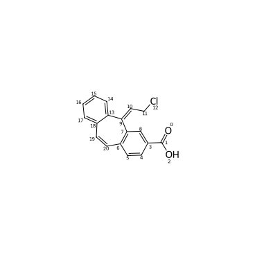 O=C(O)c1ccc2c(c1)C(=CCCl)c1ccccc1C=C2